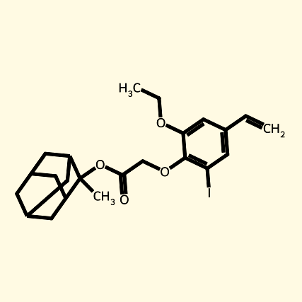 C=Cc1cc(I)c(OCC(=O)OC2(C)C3CC4CC(C3)CC2C4)c(OCC)c1